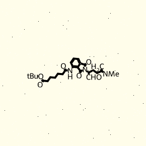 C=C(CCC(C=O)N1C(=O)c2cccc(NC(=O)CCCCCC(=O)OC(C)(C)C)c2C1=O)NC